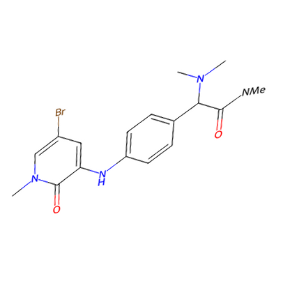 CNC(=O)C(c1ccc(Nc2cc(Br)cn(C)c2=O)cc1)N(C)C